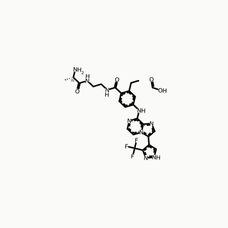 CCc1cc(Nc2nccn3c(-c4c[nH]nc4C(F)(F)F)cnc23)ccc1C(=O)NCCNC(=O)[C@H](C)N.O=CO